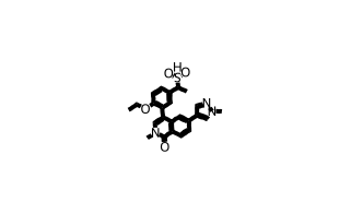 CCOc1ccc(C(C)[SH](=O)=O)cc1-c1cn(C)c(=O)c2ccc(-c3cnn(C)c3)cc12